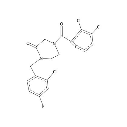 O=C1CN(C(=O)c2cccc(Cl)c2Cl)CCN1Cc1ccc(F)cc1Cl